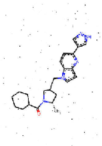 C[C@H]1CC(Cn2ccc3nc(-c4cn[nH]c4)ccc32)CN1C(=O)C1CCCCC1